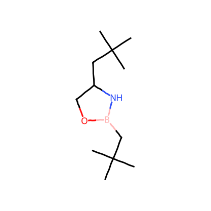 CC(C)(C)CB1NC(CC(C)(C)C)CO1